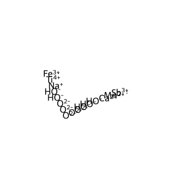 [Ca+2].[Fe+3].[Mn+2].[Na+].[O-2].[O-2].[O-2].[O-2].[O-2].[OH-].[OH-].[OH-].[OH-].[OH-].[Sb+3].[Ti+4]